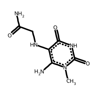 Cn1c(N)c(NCC(N)=O)c(=O)[nH]c1=O